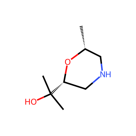 C[C@@H]1CNC[C@H](C(C)(C)O)O1